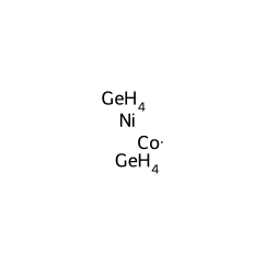 [Co].[GeH4].[GeH4].[Ni]